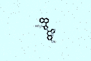 N#Cc1ccc(CC(c2cnc[nH]2)n2cc(C(=O)O)c(-c3cccc4ccccc34)c2)cc1